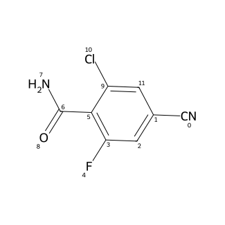 N#Cc1cc(F)c(C(N)=O)c(Cl)c1